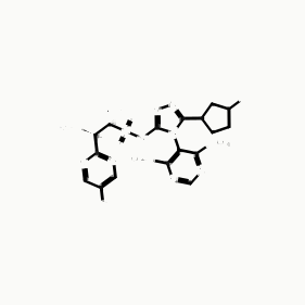 COc1ncnc(OC)c1-n1c(NS(=O)(=O)[C@@H](C)[C@H](OC)c2ncc(Cl)cn2)nnc1C1CCC(F)C1